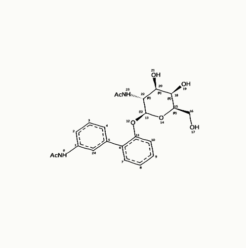 CC(=O)Nc1cccc(-c2ccccc2O[C@@H]2O[C@H](CO)[C@H](O)[C@H](O)[C@H]2NC(C)=O)c1